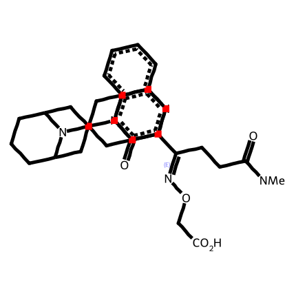 CNC(=O)CC/C(=N\OCC(=O)O)c1nc2ccccc2n(C2CC3CCCC(C2)N3C2CC3CCCC(C3)C2)c1=O